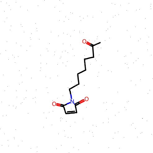 CC(=O)CCCCCCN1C(=O)C=CC1=O